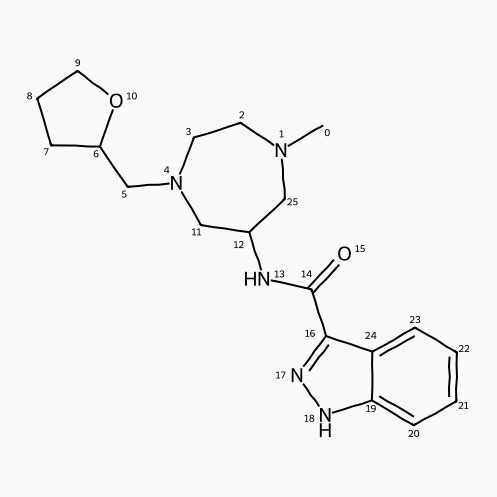 CN1CCN(CC2CCCO2)CC(NC(=O)c2n[nH]c3ccccc23)C1